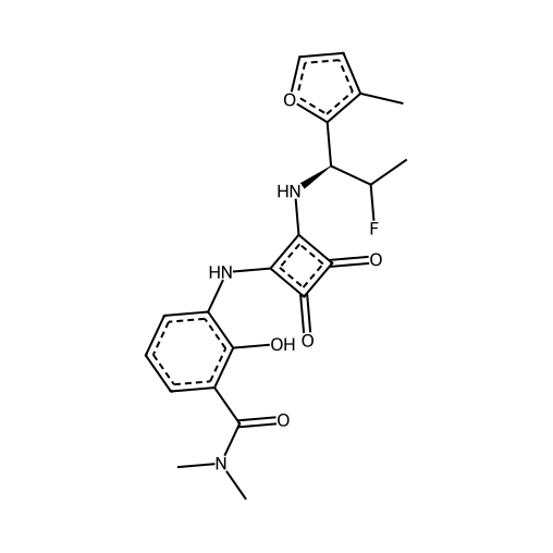 Cc1ccoc1[C@H](Nc1c(Nc2cccc(C(=O)N(C)C)c2O)c(=O)c1=O)C(C)F